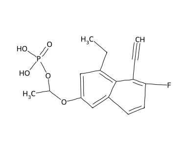 C#Cc1c(F)ccc2cc(OC(C)OP(=O)(O)O)cc(CC)c12